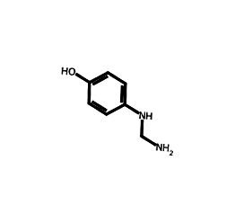 NCNc1ccc(O)cc1